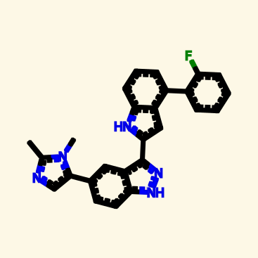 Cc1ncc(-c2ccc3[nH]nc(-c4cc5c(-c6ccccc6F)cccc5[nH]4)c3c2)n1C